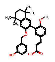 COc1ccc(C=CC(=O)O)cc1-c1cc2c(cc1OCc1cccc(O)c1)C(C)(C)CCC2(C)C